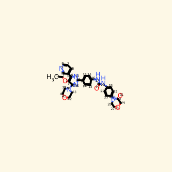 CCOc1c(-c2cccnc2)nc(-c2ccc(NC(=O)Nc3ccc(N4CCOCC4=O)cc3)cc2)nc1N1CCOCC1